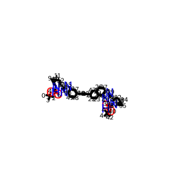 CC(C)(C)OC(=O)N1C2C[C@]2(C)C[C@H]1c1nc2cc(C#Cc3ccc4c(ccc5nc([C@@H]6C[C@@]7(C)CC7N6C(=O)OC(C)(C)C)[nH]c54)c3)ccc2[nH]1